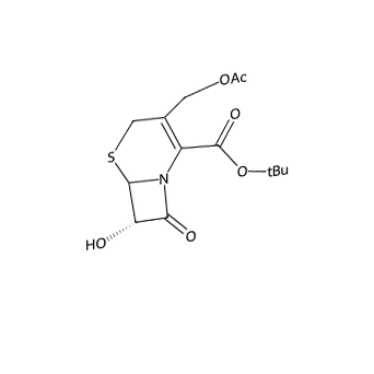 CC(=O)OCC1=C(C(=O)OC(C)(C)C)N2C(=O)[C@H](O)C2SC1